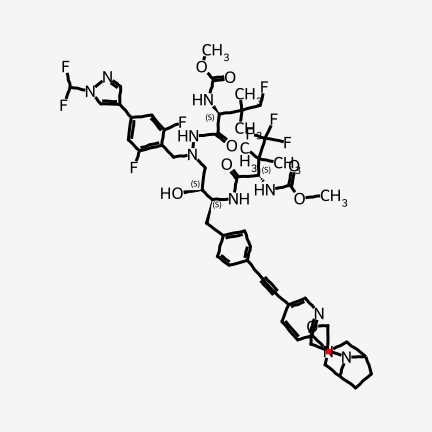 COC(=O)N[C@H](C(=O)NN(Cc1c(F)cc(-c2cnn(C(F)F)c2)cc1F)C[C@H](O)[C@H](Cc1ccc(C#Cc2ccc(N3CC4CCC(C3)N4C3COC3)nc2)cc1)NC(=O)[C@@H](NC(=O)OC)C(C)(C)C(F)(F)F)C(C)(C)CF